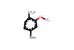 CNc1ccc(C(=O)O)c(OC(F)(F)F)c1